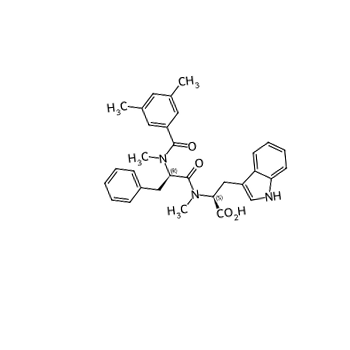 Cc1cc(C)cc(C(=O)N(C)[C@H](Cc2ccccc2)C(=O)N(C)[C@@H](Cc2c[nH]c3ccccc23)C(=O)O)c1